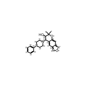 CC1(C)Oc2cc3nonc3cc2C(N2CCN(c3ccccc3)CC2)C1O